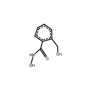 O=C(NO)c1ccccc1CO